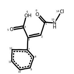 O=C(/C=C(\C(=O)O)c1ccccc1)NCl